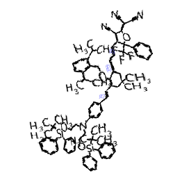 CC(C)c1cccc(C(C)C)c1COC1=C(/C=C/c2ccc(N(CCO[Si](c3ccccc3)(c3ccccc3)C(C)(C)C)CCO[Si](c3ccccc3)(c3ccccc3)C(C)(C)C)cc2)CC(C)(C)C/C1=C\C=C\C1=C(C#N)C(=C(C#N)C#N)OC1(c1ccccc1)C(F)(F)F